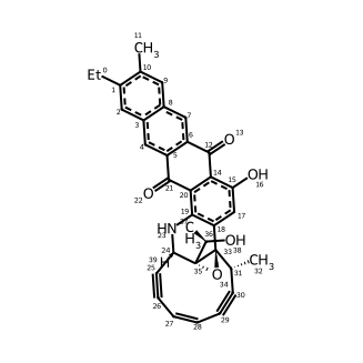 CCc1cc2cc3c(cc2cc1C)C(=O)c1c(O)cc2c(c1C3=O)N[C@H]1C#C/C=C\C#C[C@@H](C)[C@@]23O[C@@]13[C@@H](C)O